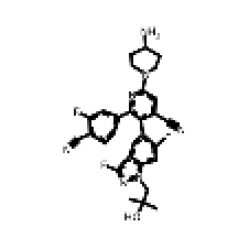 CC(C)(O)Cn1nc(F)c2cc(-c3c(C#N)cc(N4CCC(N)CC4)nc3-c3ccc(C#N)c(F)c3)c(F)cc21